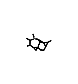 CC1C(C)N(C)C2C3C4(CCC5C(C)C523)CC14